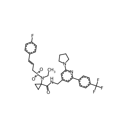 CCN(C1(C(=O)NCc2cc(-c3ccc(C(F)(F)F)cc3)nc(N3CCCC3)c2)CC1)S(=O)(=O)CC=Cc1ccc(F)cc1